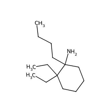 CCCCC1(N)CCCCC1(CC)CC